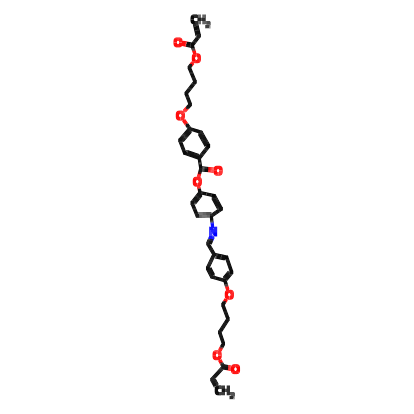 C=CC(=O)OCCCCOc1ccc(/C=N/c2ccc(OC(=O)c3ccc(OCCCCOC(=O)C=C)cc3)cc2)cc1